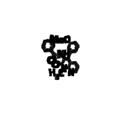 COc1cccc(-c2c(NC(=O)c3ccccc3)c(=O)n(C)c3ncccc23)c1